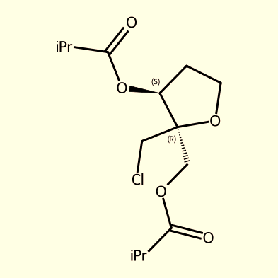 CC(C)C(=O)OC[C@@]1(CCl)OCC[C@@H]1OC(=O)C(C)C